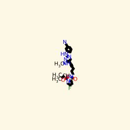 CNc1nc(Nc2cccc(C#N)c2)ncc1C#CCCCNC(=O)[C@@H]1C[C@H](F)CN1C(=O)OC(C)(C)C